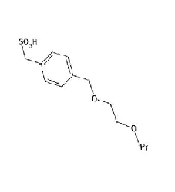 CC(C)OCCOCc1ccc(CS(=O)(=O)O)cc1